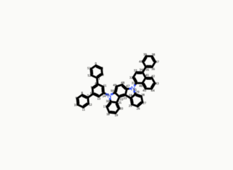 c1ccc(-c2cc(-c3ccccc3)cc(-n3c4ccccc4c4c5c6ccccc6n(-c6ccc(-c7ccccc7)c7ccccc67)c5ccc43)c2)cc1